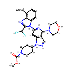 COc1cccc2c1nc(C(F)F)n2-c1cc2c(cnn2C2CCN(C(=O)OC(C)(C)C)CC2)c(N2CCOCC2)n1